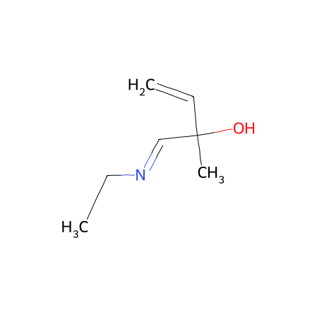 C=CC(C)(O)C=NCC